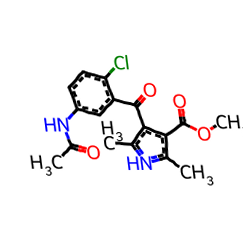 COC(=O)c1c(C)[nH]c(C)c1C(=O)c1cc(NC(C)=O)ccc1Cl